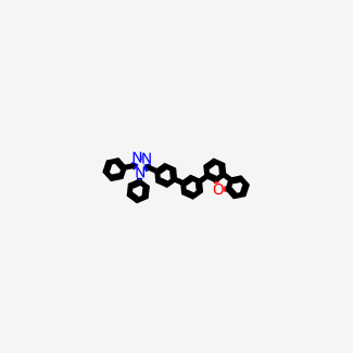 c1ccc(-c2nnc(-c3ccc(-c4cccc(-c5cccc6c5oc5ccccc56)c4)cc3)n2-c2ccccc2)cc1